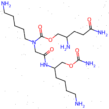 NCCCCCN(CC(=O)NC(CCCCN)COC(N)=O)C(=O)OCC(N)CCC(N)=O